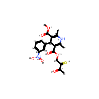 COC(=O)C1=C(C)NC(C)=C(C(=O)OCC(=S)C(C)=O)C1c1cccc([N+](=O)[O-])c1